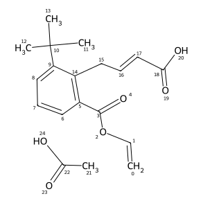 C=COC(=O)c1cccc(C(C)(C)C)c1C/C=C/C(=O)O.CC(=O)O